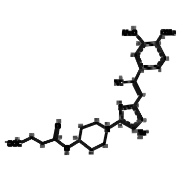 COc1ccc(C(C#N)=Cc2ccc(N3CCC(OC(=O)CCC(=O)[O-])CC3)s2)cc1OC.[Na+]